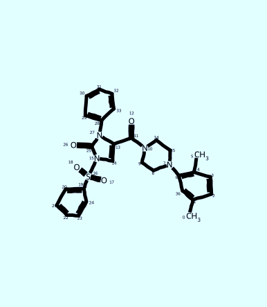 Cc1ccc(C)c(N2CCN(C(=O)c3cn(S(=O)(=O)c4ccccc4)c(=O)n3-c3ccccc3)CC2)c1